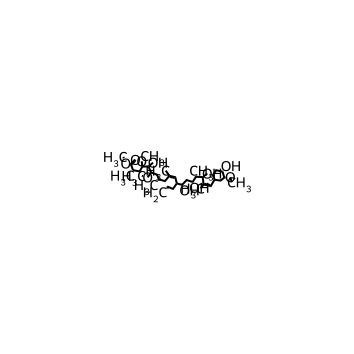 C=CCC(C=C(C)CC(C)CC(OC)C(O)C(CC(C)C(=O)OC)OC)C(O)CC(O)C(C)C(O)C(C)=CC1CCC(O)C(OC)C1